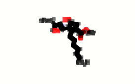 CCCCC[C@H](O)/C=C/[C@@H]1C(CCCCCCC(=O)O)=C(C(=O)OC(C)C)C[C@H]1O